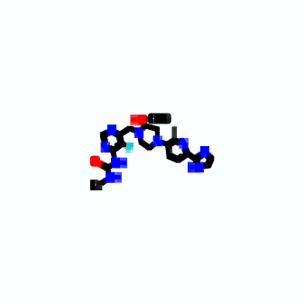 CCNC(=O)Nc1ncnc(CN2CCN(c3ccc(-c4ncc[nH]4)nc3C)CC2)c1F.O=CO